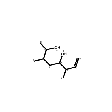 C=CC(C)C(O)CC(C)C(C)O